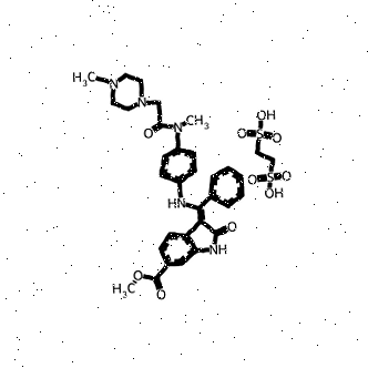 COC(=O)c1ccc2c(c1)NC(=O)C2=C(Nc1ccc(N(C)C(=O)CN2CCN(C)CC2)cc1)c1ccccc1.O=S(=O)(O)CCS(=O)(=O)O